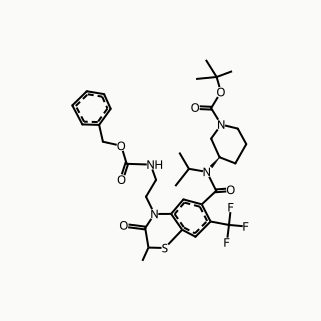 CC1Sc2cc(C(F)(F)F)c(C(=O)N(C(C)C)[C@@H]3CCCN(C(=O)OC(C)(C)C)C3)cc2N(CCNC(=O)OCc2ccccc2)C1=O